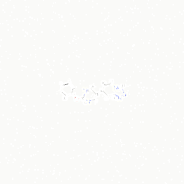 c1ccc(Oc2ncc(-c3ccn4cnnc4c3)cn2)cc1